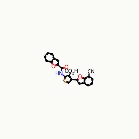 N#Cc1cccc2cc(-c3csc(NC(=O)c4cc5ccccc5o4)c3C(=O)O)oc12